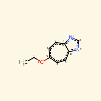 CCOc1ccc2n[c]nc-2cc1